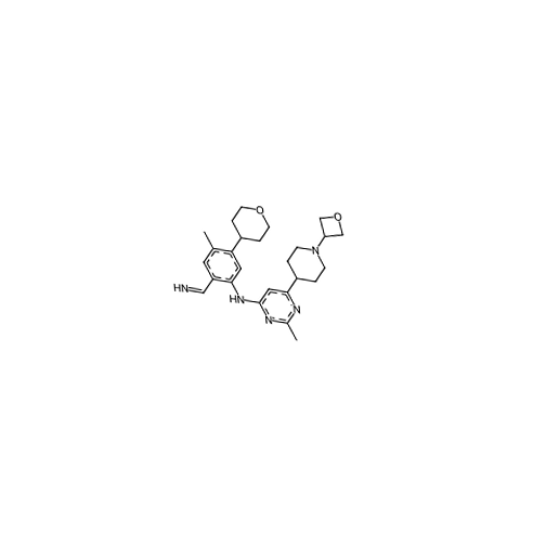 Cc1nc(Nc2cc(C3CCOCC3)c(C)cc2C=N)cc(C2CCN(C3COC3)CC2)n1